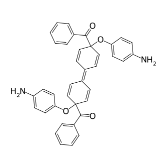 Nc1ccc(OC2(C(=O)c3ccccc3)C=CC(=C3C=CC(Oc4ccc(N)cc4)(C(=O)c4ccccc4)C=C3)C=C2)cc1